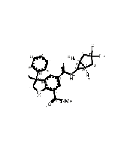 CNC(=O)c1cc(C(=O)NC2[C@H]3CC(F)(F)C[C@@H]23)cc2c1OCC2(C)c1ccccc1